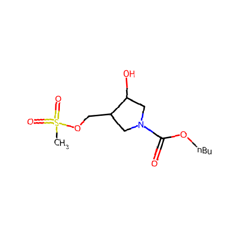 CCCCOC(=O)N1CC(O)C(COS(C)(=O)=O)C1